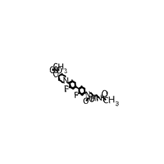 CC(=O)NCC1CN(c2ccc(-c3ccc(N4CCC(OS(C)(=O)=O)CC4)c(F)c3)c(F)c2)C(=O)O1